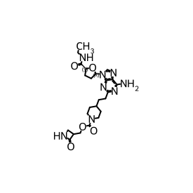 CCNC(=O)[C@@H]1CC[C@H](n2cnc3c(N)nc(CCC4CCN(C(=O)OCC5CNC5=O)CC4)nc32)O1